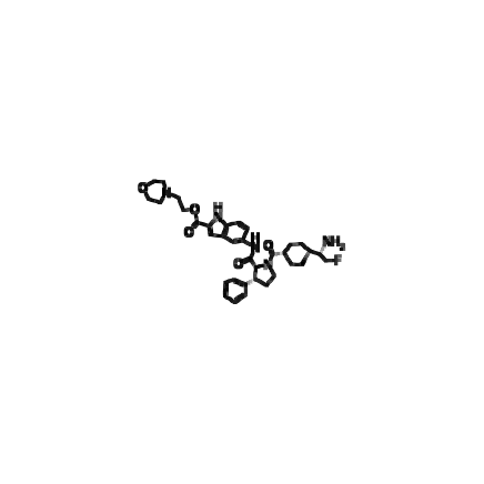 N[C@H](CF)[C@H]1CC[C@H](C(=O)N2CC[C@H](c3ccccc3)[C@H]2C(=O)Nc2ccc3[nH]c(C(=O)OCCN4CCOCC4)cc3c2)CC1